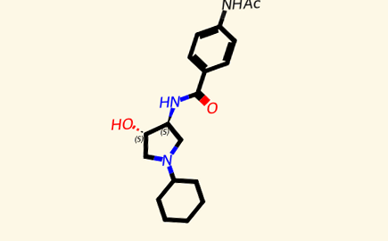 CC(=O)Nc1ccc(C(=O)N[C@H]2CN(C3CCCCC3)C[C@@H]2O)cc1